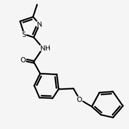 Cc1csc(NC(=O)c2cccc(COc3ccccc3)c2)n1